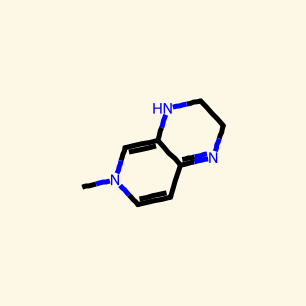 CN1C=CC2=NCCNC2=C1